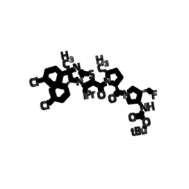 CC(C)C1=C(C(=O)N2[C@H](C)CC[C@H]2C(=O)N2C[C@H](CF)[C@@H](NC(=O)OC(C)(C)C)C2)SC2=N[C@@](C)(c3ccc(Cl)cc3)[C@@H](c3ccc(Cl)cc3)N21